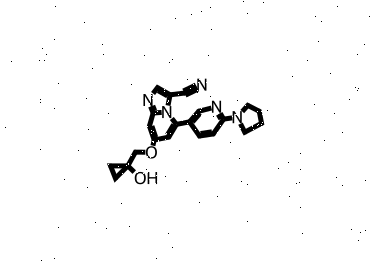 N#Cc1cnc2cc(OCC3(O)CC3)cc(-c3ccc(N4CCCC4)nc3)n12